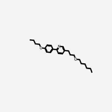 CCCCCCOCCCc1ccc(-c2ccc(OCCCC)cc2)nc1